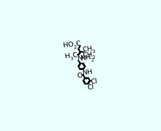 C=C(C)/C(CCC(=O)O)=C(/C)N(N)Cc1ccc(NC(=O)c2ccc(Cl)c(Cl)c2)cc1